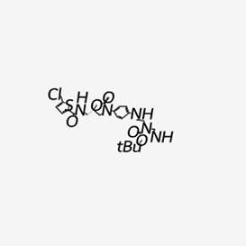 CC(C)(C)OC(=O)N(C=N)CCNc1ccc(N2C[C@H](CNC(=O)c3ccc(Cl)s3)OC2=O)cc1